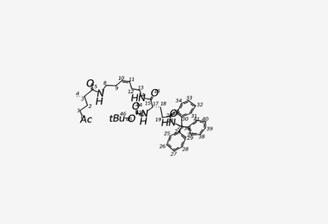 CC(=O)CC[C@H](C)C(=O)NCC/C=C\CCNC(=O)[C@H](CCC(=O)NC(c1ccccc1)(c1ccccc1)c1ccccc1)NC(=O)OC(C)(C)C